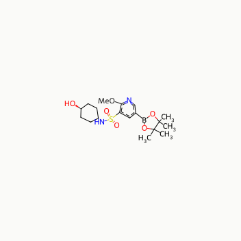 COc1ncc(B2OC(C)(C)C(C)(C)O2)cc1S(=O)(=O)N[C@H]1CC[C@H](O)CC1